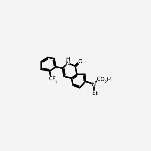 CCN(C(=O)O)c1ccc2cc(-c3ccccc3C(F)(F)F)[nH]c(=O)c2c1